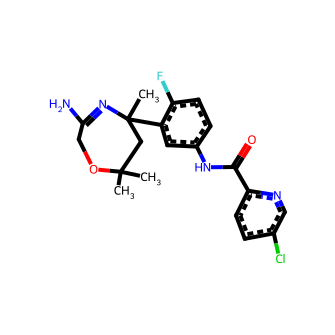 CC1(C)CC(C)(c2cc(NC(=O)c3ccc(Cl)cn3)ccc2F)N=C(N)CO1